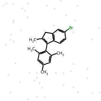 CC1=C(c2c(C)cc(C)cc2C)c2ccc(Br)cc2C1